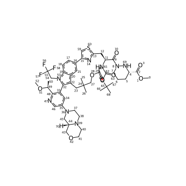 COC(=O)[C@@H]1CCCN(C(=O)[C@H](Cc2nc(-c3ccc4c(c3)c(CC(C)(C)COC(C)=O)c(-c3cc(N5CCN6CCOC[C@@H]6C5)cnc3[C@H](C)OC)n4CC(F)(F)F)cs2)NC(=O)OC(C)(C)C)N1